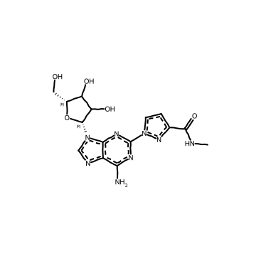 CNC(=O)c1ccn(-c2nc(N)c3ncn([C@@H]4O[C@H](CO)C(O)C4O)c3n2)n1